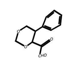 O=CC(=O)C1OCOCC1c1ccccc1